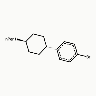 CCCCC[C@H]1CC[C@H](c2ccc(Br)cc2)CC1